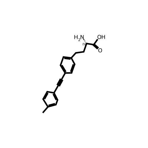 Cc1ccc(C#Cc2ccc(CC[C@H](N)C(=O)O)cc2)cc1